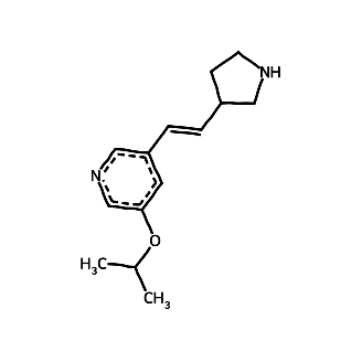 CC(C)Oc1cncc(C=CC2CCNC2)c1